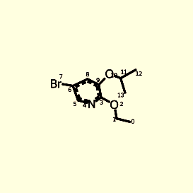 CCOc1ncc(Br)cc1OC(C)C